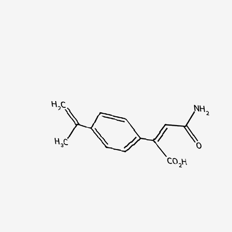 C=C(C)c1ccc(C(=CC(N)=O)C(=O)O)cc1